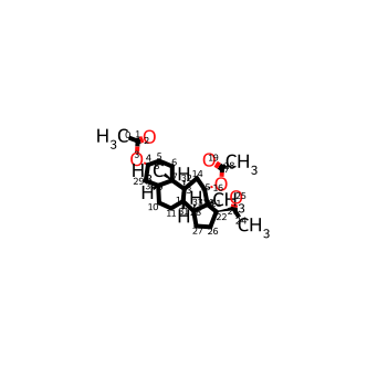 CC(=O)O[C@@H]1CC[C@@]2(C)[C@H](CC[C@@H]3[C@@H]2C[C@H](OC(C)=O)[C@]2(C)[C@@H](C(C)=O)CC[C@@H]32)C1